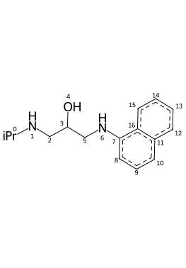 CC(C)NCC(O)CNc1cccc2ccccc12